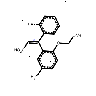 COCOc1ccc(C)cc1/C(=C\C(=O)O)c1ccccc1F